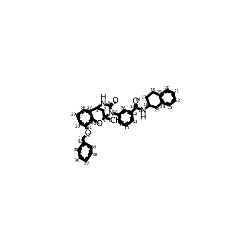 CC12CC(NC(=O)N1c1cccc(C(=O)NC3CCc4ccccc4C3)c1)c1cccc(OCc3ccccc3)c1O2